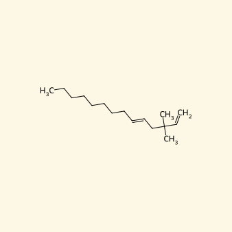 C=CC(C)(C)CC=CCCCCCCCC